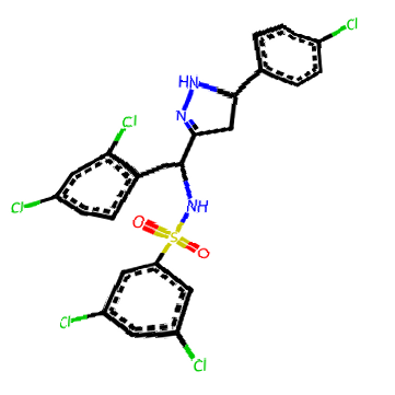 O=S(=O)(NC(C1=NNC(c2ccc(Cl)cc2)C1)c1ccc(Cl)cc1Cl)c1cc(Cl)cc(Cl)c1